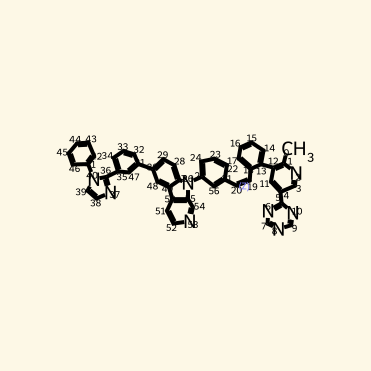 Cc1ncc(-c2ncncn2)cc1-c1ccccc1/C=C\c1cccc(-n2c3ccc(-c4cccc(-c5nccn5-c5ccccc5)c4)cc3c3ccncc32)c1